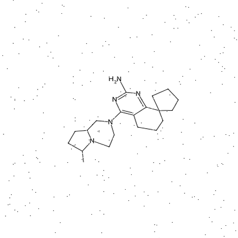 CC1CCC2CN(c3nc(N)nc4c3CCCC43CCCC3)CCN12